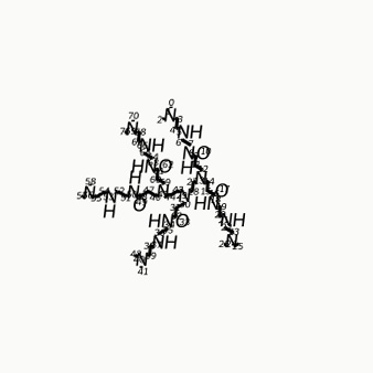 CN(C)CCNCCNC(=O)CCN(CCC(=O)NCCNCCN(C)C)CCN(CCC(=O)NCCNCCN(C)C)CCN(CCC(=O)NCCNCCN(C)C)CCC(=O)NCCNCCN(C)C